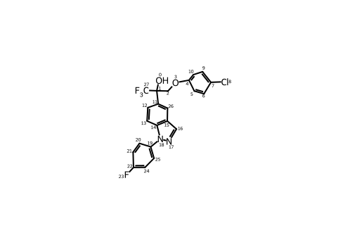 OC(COc1ccc(Cl)cc1)(c1ccc2c(cnn2-c2ccc(F)cc2)c1)C(F)(F)F